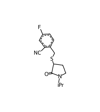 CC(C)N1CCC(SCc2ccc(F)cc2C#N)C1=O